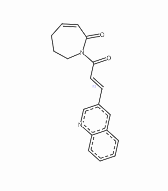 O=C1C=CCCCN1C(=O)/C=C/c1cnc2ccccc2c1